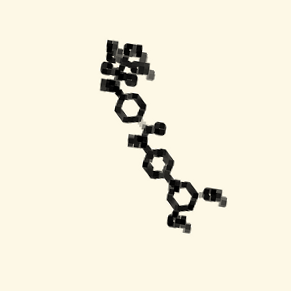 C[C@@H]1C[C@@H](C)CN(c2ccc(NC(=O)[C@H]3CC[C@H](NS(=O)(=O)C(C)(C)C)CC3)cc2)C1